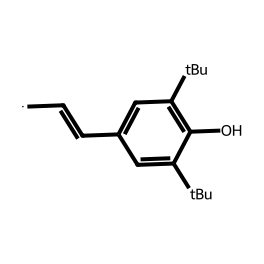 [CH2]/C=C/c1cc(C(C)(C)C)c(O)c(C(C)(C)C)c1